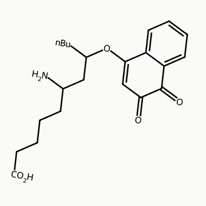 CCCCC(CC(N)CCCCC(=O)O)OC1=CC(=O)C(=O)c2ccccc21